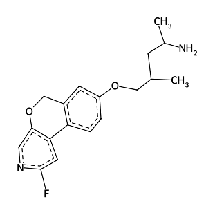 CC(N)CC(C)COc1ccc2c(c1)COc1cnc(F)cc1-2